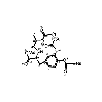 CCC(C)C(=O)Oc1ccc(C[C@H](NCC(C)OC(=O)C(C)C)C(=O)OC)cc1OC(=O)C(C)CC